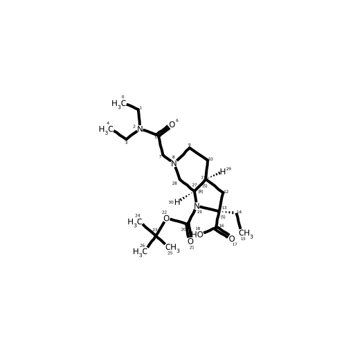 CCN(CC)C(=O)CN1CC[C@H]2C[C@@](CC)(C(=O)O)N(C(=O)OC(C)(C)C)[C@H]2C1